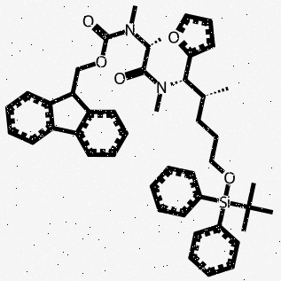 C[C@H](CCCO[Si](c1ccccc1)(c1ccccc1)C(C)(C)C)[C@@H](c1ccco1)N(C)C(=O)[C@@H](C)N(C)C(=O)OCC1c2ccccc2-c2ccccc21